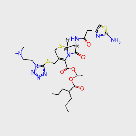 CCCC(CCC)C(=O)OC(C)OC(=O)C1=C(CSc2nnnn2CCN(C)C)CS[C@@H]2[C@H](NC(=O)Cc3csc(N)n3)C(=O)N12